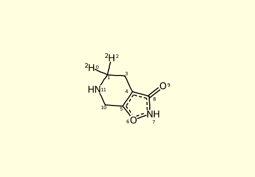 [2H]C1([2H])Cc2c(o[nH]c2=O)CN1